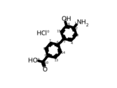 Cl.Nc1ccc(-c2ccc(C(=O)O)cc2)cc1O